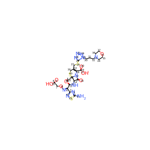 Nc1nc(/C(=N/OCC(=O)O)C(=O)NC2C(=O)N3C(C(=O)O)=C(CSc4nnnn4CCCN4CCOCC4)CS[C@H]23)ns1